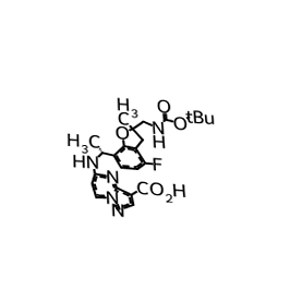 C[C@@H](Nc1ccn2ncc(C(=O)O)c2n1)c1ccc(F)c2c1OC(C)(CNC(=O)OC(C)(C)C)C2